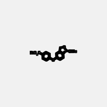 CCOC(=O)c1ccc(Oc2ccc3c(c2)COB3OC)cc1